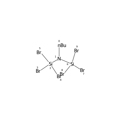 CCCCN([Si](Br)(Br)Br)[Si](Br)(Br)Br